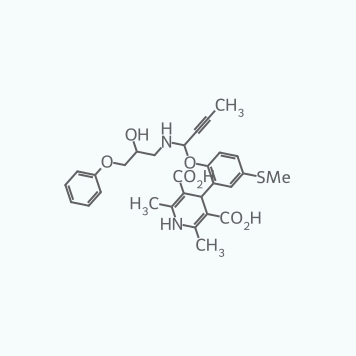 CC#CC(NCC(O)COc1ccccc1)Oc1ccc(SC)cc1C1C(C(=O)O)=C(C)NC(C)=C1C(=O)O